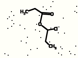 CCC(=O)OC(Cl)CC